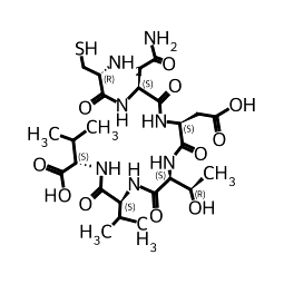 CC(C)[C@H](NC(=O)[C@@H](NC(=O)[C@@H](NC(=O)[C@H](CC(=O)O)NC(=O)[C@H](CC(N)=O)NC(=O)[C@@H](N)CS)[C@@H](C)O)C(C)C)C(=O)O